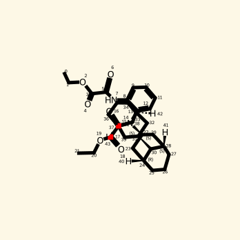 CCOC(=O)C(=O)Nc1ccccc1N(C(=O)C(=O)OCC)[C@@H]1C[C@H]2CCC[C@@H](C1)C2[C@@H]1C[C@@H]2CCC[C@@H](C2)C1